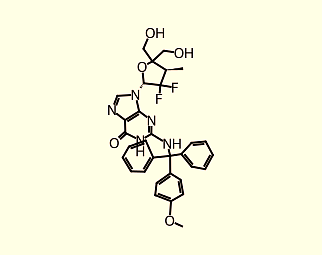 COc1ccc(C(Nc2nc3c(ncn3[C@@H]3OC(CO)(CO)[C@@H](C)C3(F)F)c(=O)[nH]2)(c2ccccc2)c2ccccc2)cc1